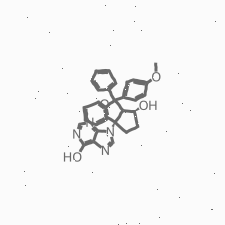 COc1ccc(C(c2ccccc2)(c2ccccc2)C2[C@@H](O)CC[C@@]2(C=O)n2cnc3c(O)ncnc32)cc1